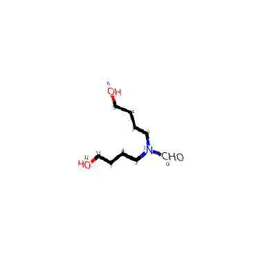 O=CN(CCCCO)CCCCO